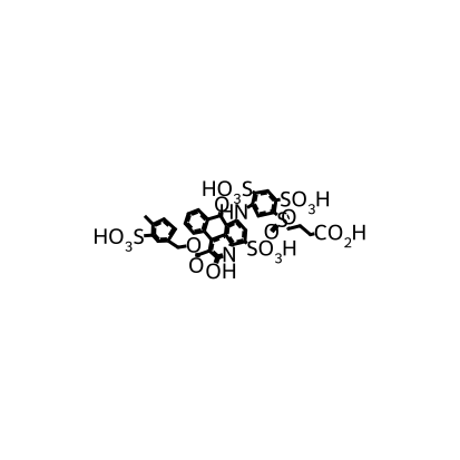 Cc1ccc(COC(=O)c2c3c4c(c(Nc5cc(S(=O)(=O)CCCC(=O)O)c(S(=O)(=O)O)cc5S(=O)(=O)O)cc(S(=O)(=O)O)c4[nH]c2=O)C(=O)c2ccccc2-3)cc1S(=O)(=O)O